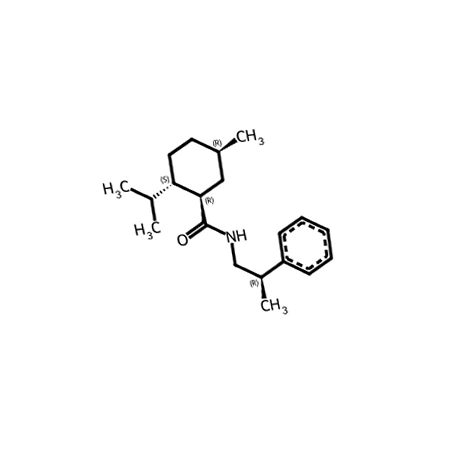 CC(C)[C@@H]1CC[C@@H](C)C[C@H]1C(=O)NC[C@H](C)c1ccccc1